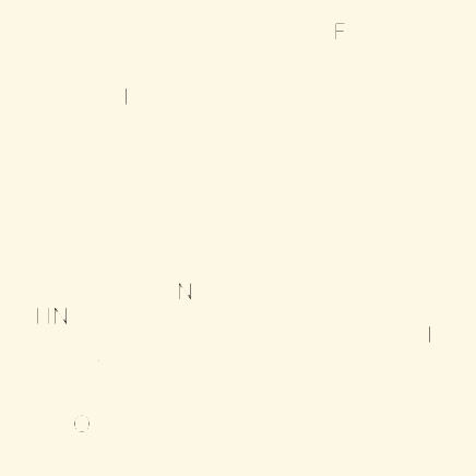 Cc1c2n(c3c(-c4cc(F)cc(F)c4)cc(F)cc13)CCNC2=O